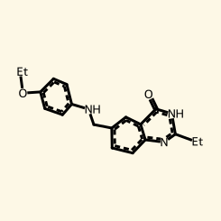 CCOc1ccc(NCc2ccc3nc(CC)[nH]c(=O)c3c2)cc1